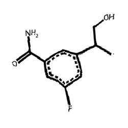 [CH2]C(CO)c1cc(F)cc(C(N)=O)c1